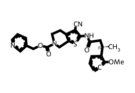 COc1ccccc1[C@@H](C)CC(=O)Nc1sc2c(c1C#N)CCN(C(=O)OCc1cccnc1)C2